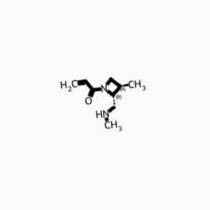 C=CC(=O)N1C[C@@H](C)[C@@H]1CNC